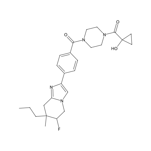 CCCC1(C)Cc2nc(-c3ccc(C(=O)N4CCN(C(=O)C5(O)CC5)CC4)cc3)cn2CC1F